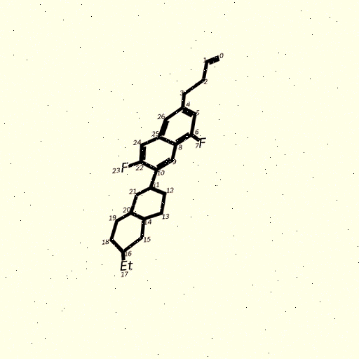 C=CCCc1cc(F)c2cc(C3CCC4CC(CC)CCC4C3)c(F)cc2c1